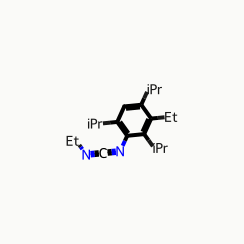 CCN=C=Nc1c(C(C)C)cc(C(C)C)c(CC)c1C(C)C